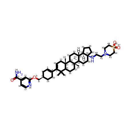 CC1(C)C(C2=CC[C@H](COc3cc(C(N)=O)ccn3)CC2)=CC[C@@]2(C)C1CC[C@]1(C)C2CC[C@@H]2[C@H]3CCC[C@]3(NCCN3CCS(=O)(=O)CC3)CC[C@]21C